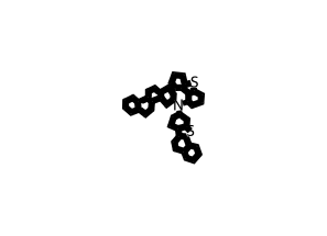 c1ccc2c(c1)ccc1c3cc(N(c4ccc5c(c4)sc4c6ccccc6ccc54)c4cccc5sc6ccccc6c45)ccc3ccc21